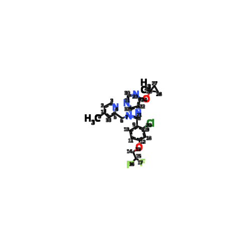 Cc1ccnc(Cn2c(-c3ccc(OCC(F)F)cc3Cl)nc3c(OC4(C)CC4)ncnc32)c1